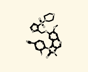 COc1cc2ncc3c(c2cc1OCc1sccc1S(=O)(=O)N1CCOCC1)n(-c1ccc(C#N)cc1F)c(=O)n3C